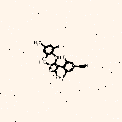 Cc1cc(F)c(Nc2c(-c3c(F)cc(C#N)cc3F)c(C)nn2C)c(Cl)c1